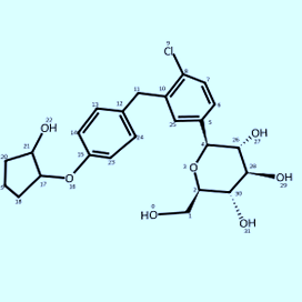 OC[C@H]1O[C@@H](c2ccc(Cl)c(Cc3ccc(OC4CCCC4O)cc3)c2)[C@H](O)[C@@H](O)[C@@H]1O